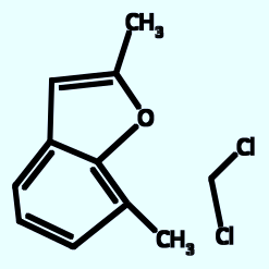 Cc1cc2cccc(C)c2o1.ClCCl